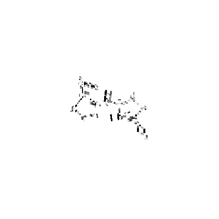 CO[C@@H]1CCC[C@H]1NC1=NCC(=O)N1